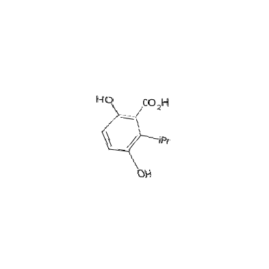 CC(C)c1c(O)ccc(O)c1C(=O)O